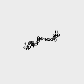 Nc1ncnc2c1c(-c1ccc(Oc3ccccc3)cc1)nn2[C@@H]1CCCN(C2CCN(C(=O)N3CCC(CCN4CCN(c5ccc6c(c5)CN(C5CCC(=O)NC5=O)C6=O)CC4)CC3)CC2)C1